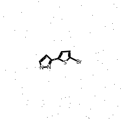 Brc1ccc(C2=N[N]C=C2)s1